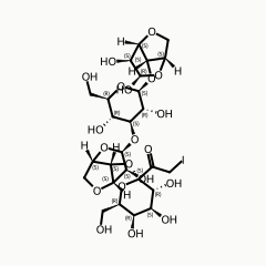 O=C(CI)[C@]1(O[C@@H]2[C@H]3OC[C@@H]2O[C@@H](O[C@@H]2[C@@H](O)[C@H](O[C@@H]4[C@H]5OC[C@@H]4O[C@@H](O)[C@H]5O)O[C@H](CO)[C@H]2O)[C@H]3O)O[C@H](CO)[C@H](O)[C@H](O)[C@H]1O